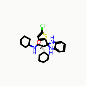 O=C(NC1CCCCC1)[C@@H](C1CCCCC1)C1(c2ccc(Cl)s2)Nc2ccccc2N1